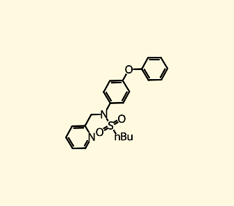 CCCCS(=O)(=O)N(Cc1ccccn1)c1ccc(Oc2ccccc2)cc1